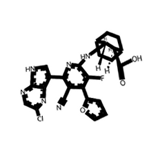 N#Cc1c(-c2c[nH]c3ncc(Cl)nc23)nc(N[C@@H]2C3CCC(CC3)[C@H]2C(=O)O)c(F)c1-c1ccco1